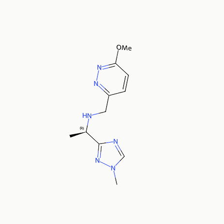 COc1ccc(CN[C@H](C)c2ncn(C)n2)nn1